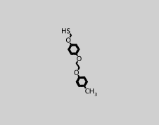 Cc1ccc(OCCOc2ccc(OCS)cc2)cc1